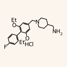 CCOc1cc(CN2CCC(CN)CC2)cc(OCC)c1-c1ccc(F)cc1.Cl